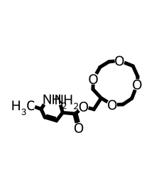 CC(N)/C=C\C(N)C(=O)OCC1COCCOCCOCCO1